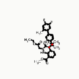 CCOC(=O)CN(Nc1c(COc2ccc(-c3cc(F)c(F)cc3C)cc2)cccc1C(=O)OC)C(=O)OC(C)(C)C